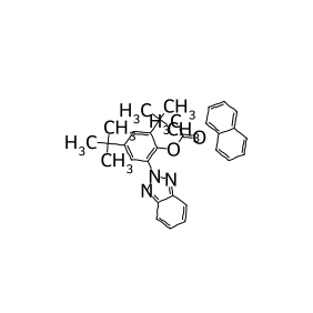 CC(=O)Oc1c(-n2nc3ccccc3n2)cc(C(C)(C)C)cc1C(C)(C)C.c1ccc2ccccc2c1